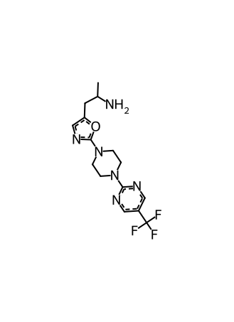 CC(N)Cc1cnc(N2CCN(c3ncc(C(F)(F)F)cn3)CC2)o1